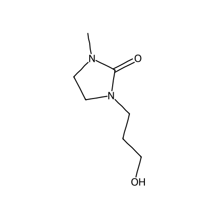 CN1CCN(CCCO)C1=O